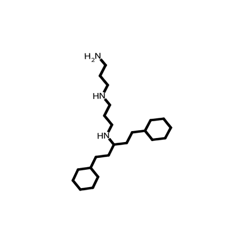 NCCCNCCCNC(CCC1CCCCC1)CCC1CCCCC1